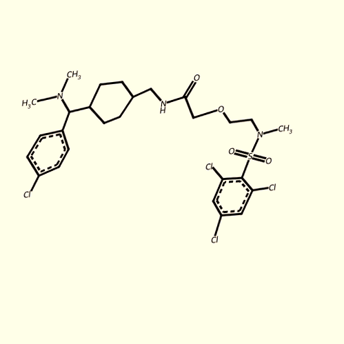 CN(C)C(c1ccc(Cl)cc1)C1CCC(CNC(=O)COCCN(C)S(=O)(=O)c2c(Cl)cc(Cl)cc2Cl)CC1